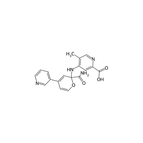 Cc1cnc(C(=O)O)cc1NC1(C(N)=O)C=C(c2cccnc2)C=CO1